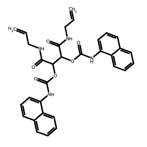 C=CCNC(=O)C(OC(=O)Nc1cccc2ccccc12)C(OC(=O)Nc1cccc2ccccc12)C(=O)NCC=C